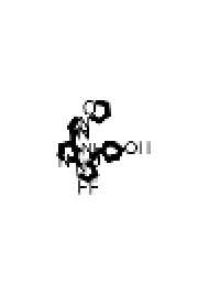 O=C(Nc1c(-c2ccn(C3CCCCO3)n2)ccnc1N1CCC(F)(F)C1)c1ccc(O)cc1